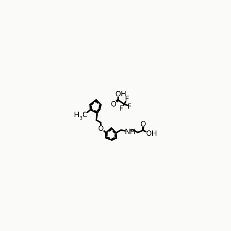 Cc1ccccc1CCOc1cccc(CNCCC(=O)O)c1.O=C(O)C(F)(F)F